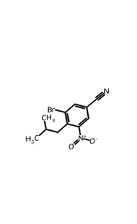 CC(C)[CH]c1c(Br)cc(C#N)cc1[N+](=O)[O-]